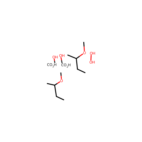 CCC(C)OC.CCC(C)OC.O=C(O)O.O=C(O)O.OO